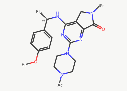 CCOc1ccc([C@@H](CC)Nc2nc(N3CCN(C(C)=O)CC3)nc3c2CN(C(C)C)C3=O)cc1